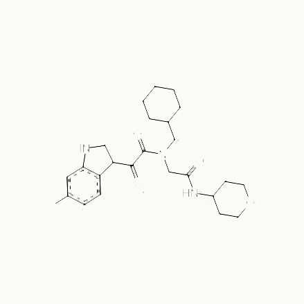 O=C(CN(CC1CCCCC1)C(=O)C(=O)C1CNc2cc(F)ccc21)NC1CCOCC1